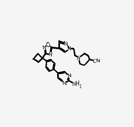 N#CC1CCN(CCn2cc(-c3nc(C4(c5ccc(-c6cnc(N)nc6)cc5)CCC4)no3)cn2)CC1